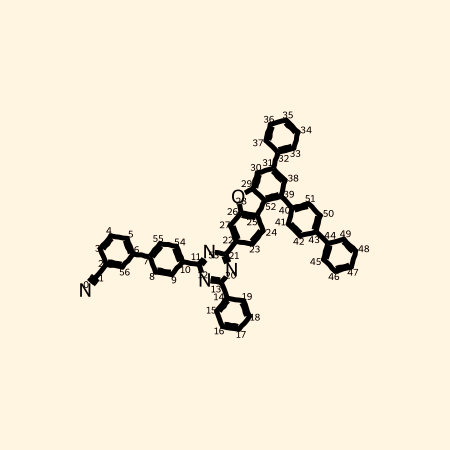 N#Cc1cccc(-c2ccc(-c3nc(-c4ccccc4)nc(-c4ccc5c(c4)oc4cc(-c6ccccc6)cc(-c6ccc(-c7ccccc7)cc6)c45)n3)cc2)c1